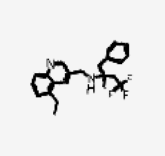 CCc1cccc2ncc(CNC(C)(Cc3ccccc3)CC(F)(F)F)cc12